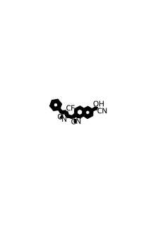 N#CC(O)c1ccc2c(c1)CCc1c-2noc1-c1noc(-c2ccccc2)c1C(F)(F)F